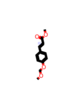 COCOc1ccc(/C=C/C(=O)OC)cc1